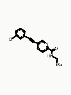 CC(C)(C)CNC(=O)c1ccc(C#Cc2cccc(Cl)c2)cn1